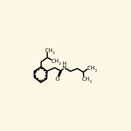 CC(C)CCNC(=O)Cc1ccccc1CC(C)C